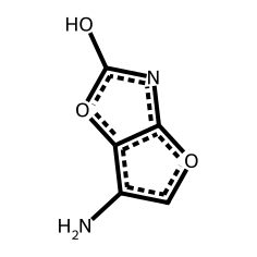 Nc1coc2nc(O)oc12